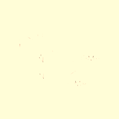 COc1cc(CO[C@H]2COc3ccccc3[C@@H]2N2CCNCC2)cc(OC)c1